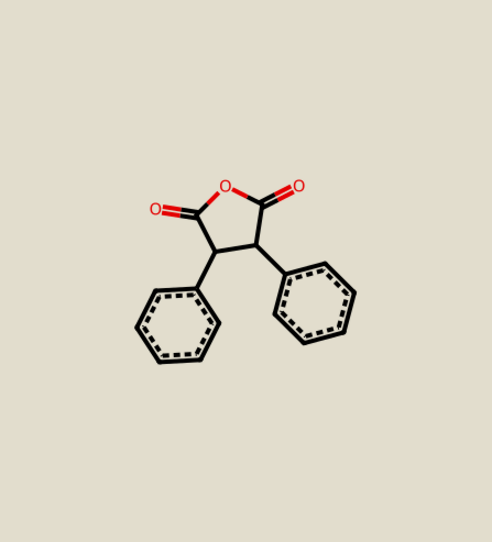 O=C1OC(=O)C(c2ccccc2)C1c1ccccc1